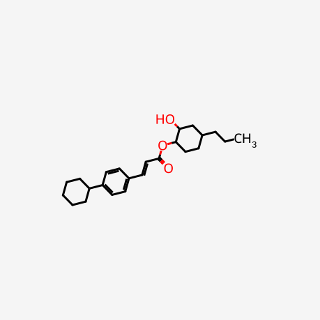 CCCC1CCC(OC(=O)/C=C/c2ccc(C3CCCCC3)cc2)C(O)C1